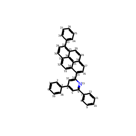 c1ccc(-c2cc(-c3ccccc3)nc(-c3ccc4ccc5c(-c6ccccc6)ccc6ccc3c4c65)c2)cc1